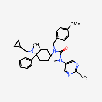 COc1ccc(CN2C(=O)N(c3cnc(C(F)(F)F)nc3)C[C@]23CC[C@@](c2ccccc2)(N(C)CC2CC2)CC3)cc1